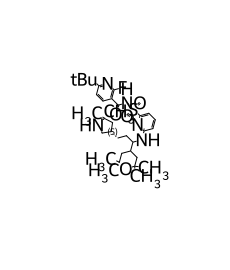 CC1(C)C[C@H](CCC(Nc2cccc(S(=O)(=O)NC(=O)c3ccc(C(C)(C)C)nc3F)n2)C2CC(C)(C)OC(C)(C)C2)CN1